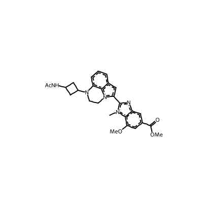 COC(=O)c1cc(OC)c2c(c1)nc(-c1cc3cccc4c3n1CCN4C1CC(NC(C)=O)C1)n2C